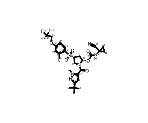 Cn1nc(C(C)(C)C)cc1C(=O)N1C[C@H](S(=O)(=O)c2ccc(OCC(F)(F)F)cc2Cl)C[C@@H]1OC(=O)NC1(C#N)CC1